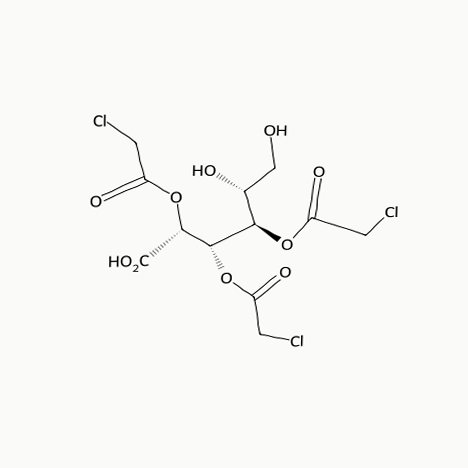 O=C(CCl)O[C@@H]([C@H](OC(=O)CCl)[C@@H](OC(=O)CCl)C(=O)O)[C@H](O)CO